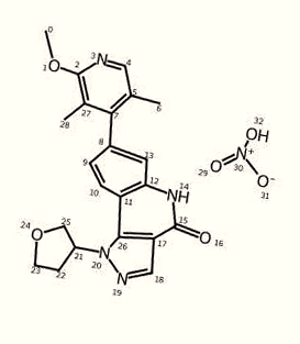 COc1ncc(C)c(-c2ccc3c(c2)[nH]c(=O)c2cnn(C4CCOC4)c23)c1C.O=[N+]([O-])O